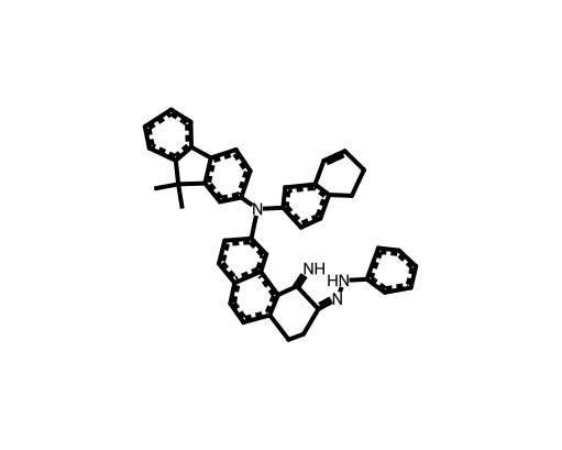 CC1(C)c2ccccc2-c2ccc(N(c3ccc4c(c3)C=CCC4)c3ccc4ccc5c(c4c3)C(=N)/C(=N\Nc3ccccc3)CC5)cc21